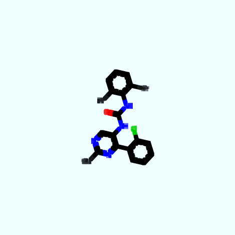 CC(C)c1cccc(C(C)C)c1NC(=O)Nc1cnc(C(C)(C)C)nc1-c1ccccc1Cl